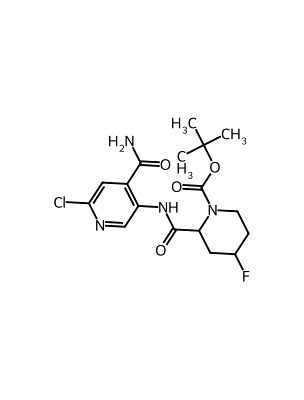 CC(C)(C)OC(=O)N1CCC(F)CC1C(=O)Nc1cnc(Cl)cc1C(N)=O